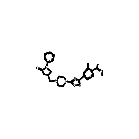 C/N=C(/C)c1ccc(-c2noc(N3CCN(CC4CC(=O)N(c5ccccc5)C4)CC3)n2)cc1C